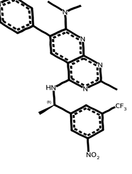 Cc1nc(N[C@H](C)c2cc([N+](=O)[O-])cc(C(F)(F)F)c2)c2cc(-c3ccncc3)c(N(C)C)nc2n1